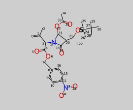 C=C(C)[C@H](C(=O)OCc1ccc([N+](=O)[O-])cc1)N1C(=O)C([C@@H](C)O[Si](C)(C)C(C)(C)C)C1OC(C)=O